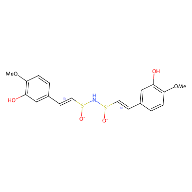 COc1ccc(/C=C/[S+]([O-])N[S+]([O-])/C=C/c2ccc(OC)c(O)c2)cc1O